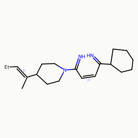 CC/C=C(\C)C1CCN(C(=N)/C=C\C(=N)C2CCCCC2)CC1